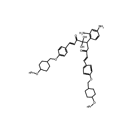 CCCOC1CCC(COc2ccc(/C=C/C(=O)CC(c3ccc(N)cc3N)C(O)(O)C(=O)/C=C/c3ccc(OCC4CCC(OCCC)CC4)cc3)cc2)CC1